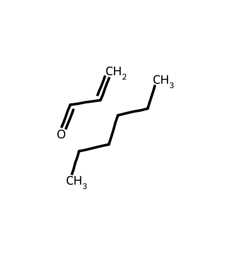 C=CC=O.CCCCCC